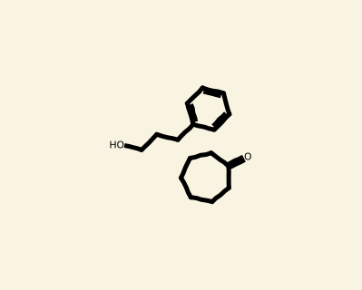 O=C1CCCCCC1.OCCCc1ccccc1